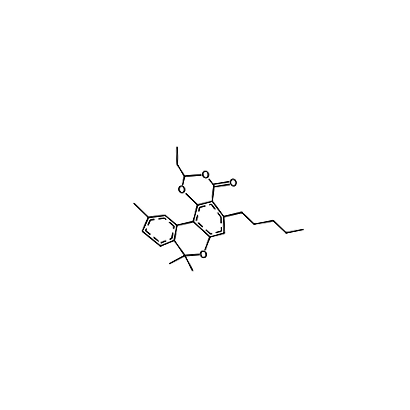 CCCCCc1cc2c(c3c1C(=O)OC(CC)O3)-c1cc(C)ccc1C(C)(C)O2